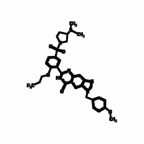 CCCOc1ccc(S(=O)(=O)N2CCC(N(C)C)C2)cc1-c1nc2cc3ncn(Cc4ccc(OC)cc4)c3cc2c(=O)[nH]1